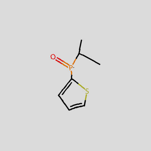 CC(C)[P](=O)c1cccs1